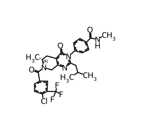 CNC(=O)c1ccc(-n2c(CC(C)C)nc3c(c2=O)C[C@@H](C)N(C(=O)c2ccc(Cl)c(C(F)(F)F)c2)C3)cc1